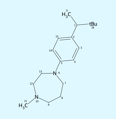 CC(c1ccc(N2CCCN(C)CC2)cc1)C(C)(C)C